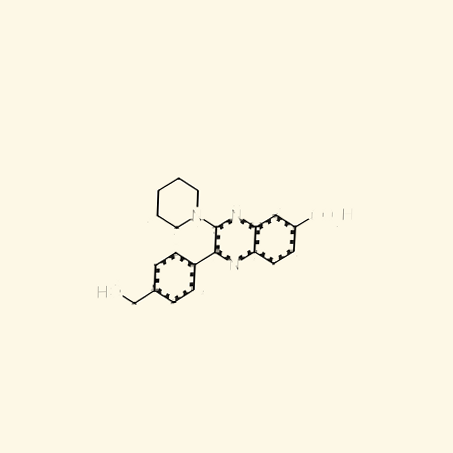 O=C(O)c1ccc2nc(-c3ccc(CO)cc3)c(N3CCCCC3)nc2c1